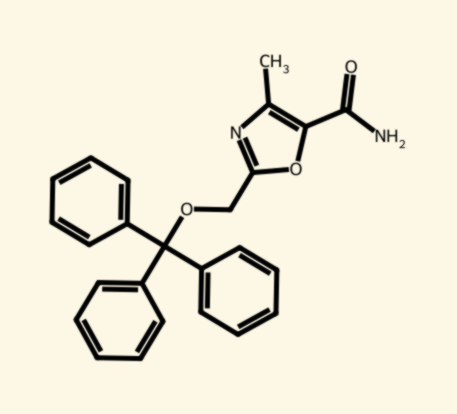 Cc1nc(COC(c2ccccc2)(c2ccccc2)c2ccccc2)oc1C(N)=O